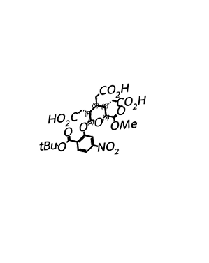 COC(=O)[C@H]1O[C@@H](Oc2cc([N+](=O)[O-])ccc2C(=O)OC(C)(C)C)[C@H](CC(=O)O)[C@@H](CC(=O)O)[C@@H]1CC(=O)O